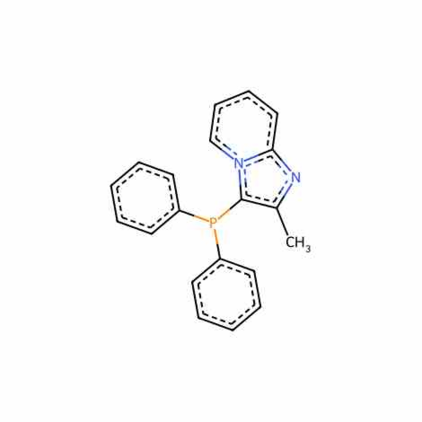 Cc1nc2ccccn2c1P(c1ccccc1)c1ccccc1